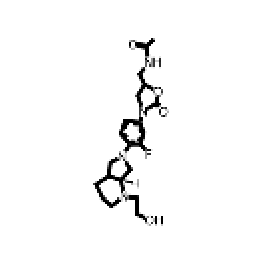 CC(=O)NCC1CN(c2ccc(N3CC4CCCN(CCO)[C@H]4C3)c(F)c2)C(=O)O1